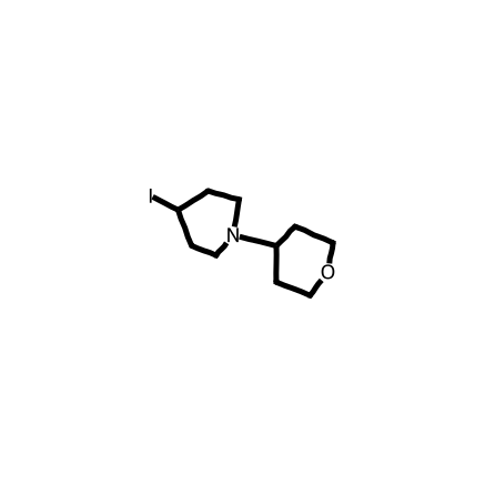 IC1CCN(C2CCOCC2)CC1